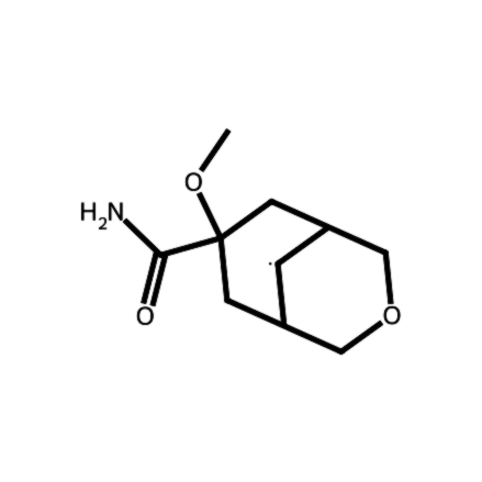 COC1(C(N)=O)CC2[CH]C(COC2)C1